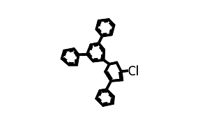 ClC1=CC(c2ccccc2)=CC(c2cc(-c3ccccc3)cc(-c3ccccc3)c2)C1